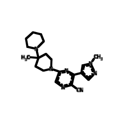 Cn1cc(-c2nc(N3CCC(C)(N4CCCCC4)CC3)cnc2C#N)cn1